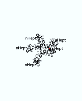 CCCCCCCC(=O)N1C(C)(C)CC(OC(=O)CN(CCN(CC(=O)OC2CC(C)(C)N(C(=O)CCCCCCC)C(C)(C)C2)CC(=O)OC2CC(C)(C)N(C(=O)CCCCCCC)C(C)(C)C2)CCN(CC(=O)OC2CC(C)(C)N(C(=O)CCCCCCC)C(C)(C)C2)CC(=O)OC2CC(C)(C)N(C(=O)CCCCCCC)C(C)(C)C2)CC1(C)C